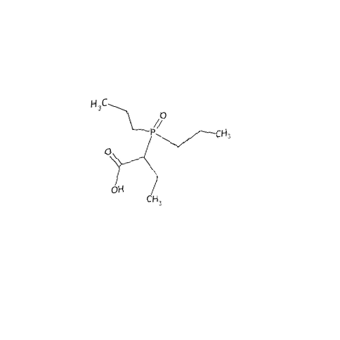 CCCP(=O)(CCC)C(CC)C(=O)O